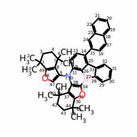 CC1(C)CCC(C)(C)c2c(N3c4ccc(-c5ccc6ccccc6c5)c5c4B(c4ccccc4-5)c4oc5c(c43)C(C)(C)CCC5(C)C)coc21